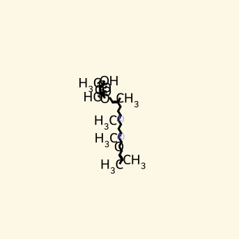 CC(C)=CCOC/C(C)=C/CC/C(C)=C/CCC(C)=CCOP(=O)(O)OP(C)(=O)O